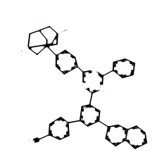 N#Cc1ccc(-c2cc(-c3ccc4ccccc4c3)cc(-c3nc(-c4ccccc4)nc(-c4ccc(C56C[C@H]7C[C@H](C5)C[C@@H](C6)C7)cc4)n3)c2)cc1